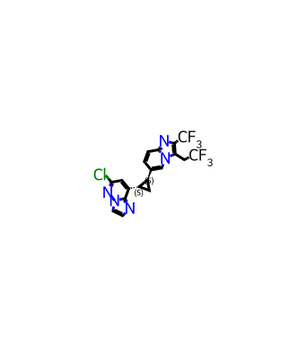 FC(F)(F)Cc1c(C(F)(F)F)nc2ccc([C@H]3C[C@@H]3c3cc(Cl)nn4ccnc34)cn12